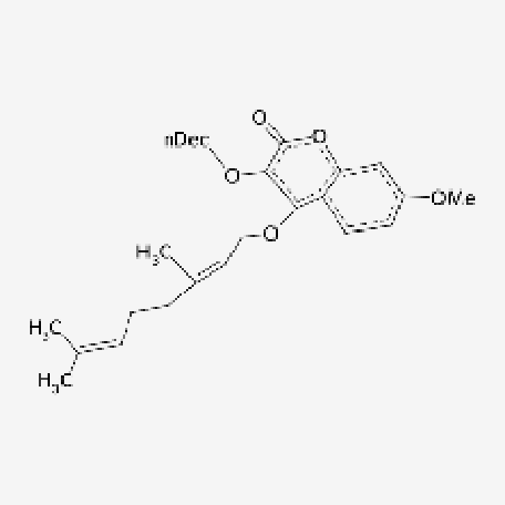 CCCCCCCCCCOc1c(OC/C=C(\C)CCC=C(C)C)c2ccc(OC)cc2oc1=O